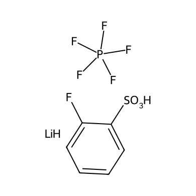 FP(F)(F)(F)F.O=S(=O)(O)c1ccccc1F.[LiH]